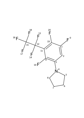 Fc1cc(N2CCCC2)c(F)c(C(F)(F)C(F)(F)F)c1F